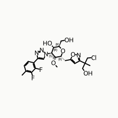 CO[C@@H]1[C@@H](n2cc(-c3ccc(C)c(F)c3F)nn2)[C@@H](O)[C@@H](CO)O[C@@H]1Cc1cc(C(C)(CO)CCl)no1